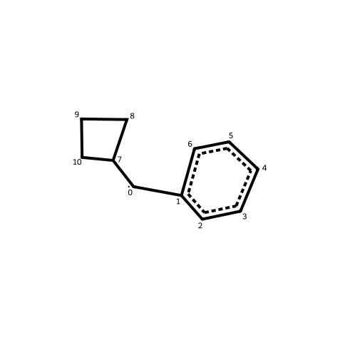 [CH](c1ccccc1)C1CCC1